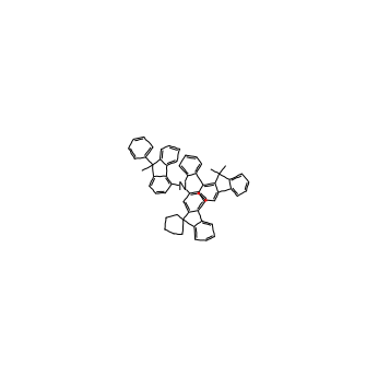 CC1(C)c2ccccc2-c2cccc(-c3ccccc3N(c3ccc4c(c3)C3(CCCCC3)c3ccccc3-4)c3cccc4c3-c3ccccc3C4(C)c3ccccc3)c21